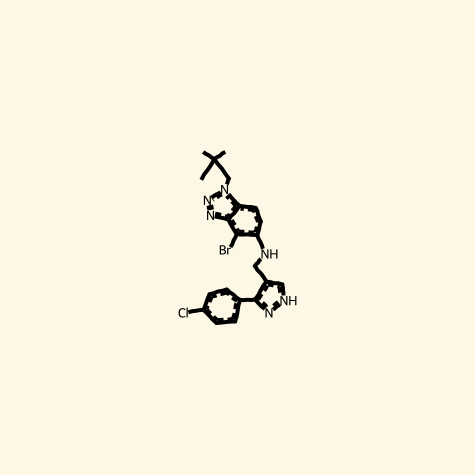 CC(C)(C)Cn1nnc2c(Br)c(NCc3c[nH]nc3-c3ccc(Cl)cc3)ccc21